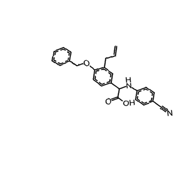 C=CCc1cc(C(Nc2ccc(C#N)cc2)C(=O)O)ccc1OCc1ccccc1